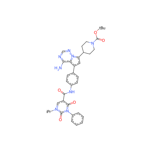 CC(C)n1cc(C(=O)Nc2ccc(-c3cc(C4CCN(C(=O)OC(C)(C)C)CC4)n4ncnc(N)c34)cc2)c(=O)n(-c2ccccc2)c1=O